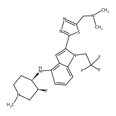 CN(C)Cc1nnc(-c2cc3c(N[C@@H]4CCN(C)C[C@@H]4F)cccc3n2CC(F)(F)F)s1